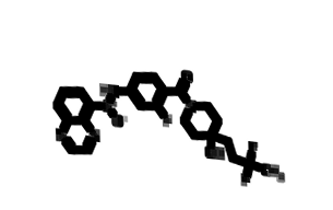 CC(F)(F)CCC1(O)CCN(C(=O)c2ccc(N[S+]([O-])c3cccc4nccnc34)cc2F)CC1